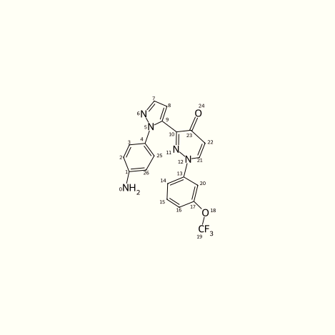 Nc1ccc(-n2nccc2-c2nn(-c3cccc(OC(F)(F)F)c3)ccc2=O)cc1